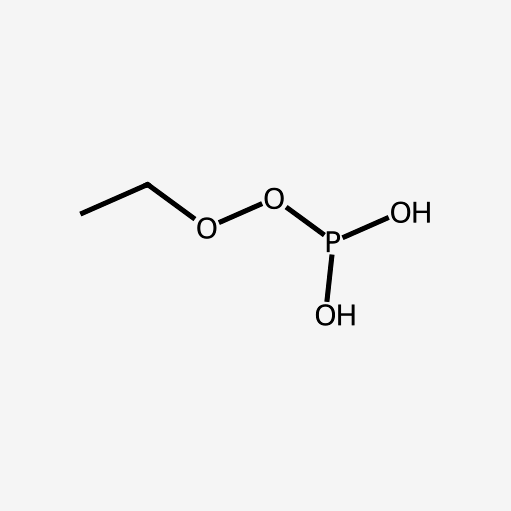 CCOOP(O)O